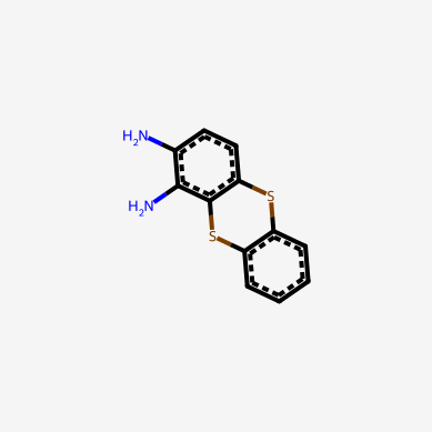 Nc1ccc2c(c1N)Sc1ccccc1S2